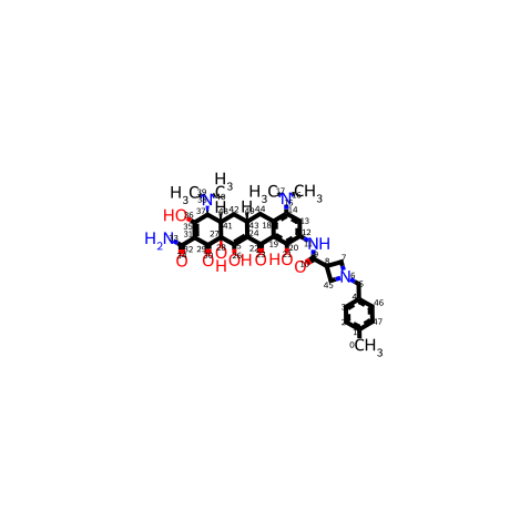 Cc1ccc(CN2CC(C(=O)Nc3cc(N(C)C)c4c(c3O)C(=O)C3=C(O)[C@]5(O)C(=O)C(C(N)=O)=C(O)[C@@H](N(C)C)[C@@H]5C[C@@H]3C4)C2)cc1